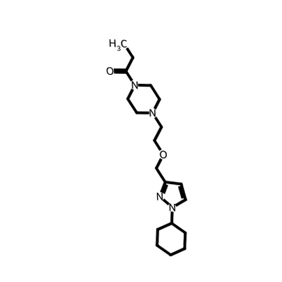 CCC(=O)N1CCN(CCOCc2ccn(C3CCCCC3)n2)CC1